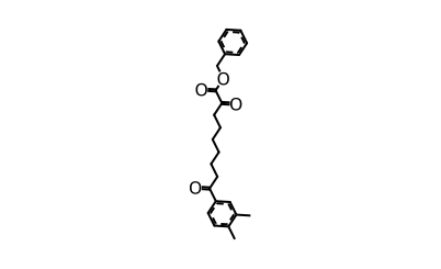 Cc1ccc(C(=O)CCCCCCC(=O)C(=O)OCc2ccccc2)cc1C